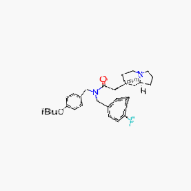 CC(C)COc1ccc(CN(Cc2ccc(F)cc2)C(=O)C[C@H]2CCN3CCC[C@H]3C2)cc1